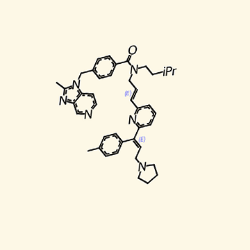 Cc1ccc(/C(=C\CN2CCCC2)c2cccc(/C=C/CN(CCC(C)C)C(=O)c3ccc(Cn4c(C)nc5cnccc54)cc3)n2)cc1